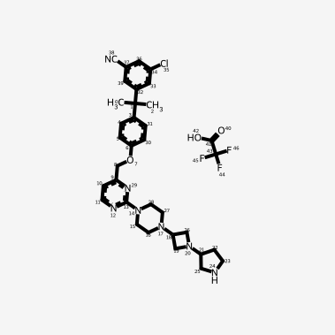 CC(C)(c1ccc(OCc2ccnc(N3CCN(C4CN(C5CCNC5)C4)CC3)n2)cc1)c1cc(Cl)cc(C#N)c1.O=C(O)C(F)(F)F